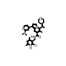 CC(=C1CCOCC1)c1c(C)c(C(=O)NCc2c(C)cc(C)[nH]c2=O)cc2c(-c3ccnc(N(C)C)c3)ccn12